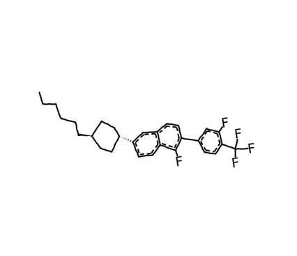 CCCCCC[C@H]1CC[C@H](c2ccc3c(F)c(-c4ccc(C(F)(F)F)c(F)c4)ccc3c2)CC1